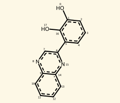 Oc1cccc(-c2cnc3ccccc3n2)c1O